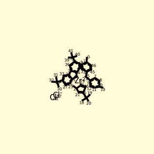 Cc1ccc([C](c2ccc(C)cc2)=[Zr+2]([C]2=CC(C(C)(C)C)=CC2C)[CH]2c3ccc(C(C)(C)C)cc3-c3cc(C(C)(C)C)ccc32)cc1.[Cl-].[Cl-]